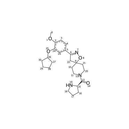 COc1ccc(C2=NOC3(CCN(C(=O)[C@H]4CCCN4)CC3)C2)cc1OC1CCCC1